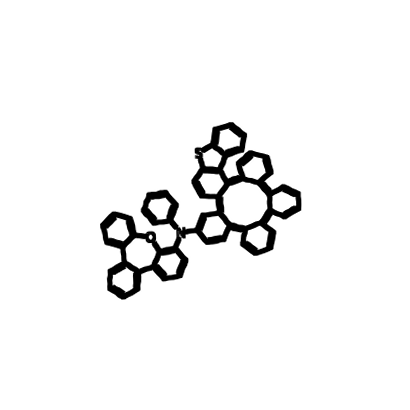 c1ccc(N(c2ccc3c4ccccc4c4ccccc4c4ccccc4c4c(ccc5sc6ccccc6c54)c3c2)c2cccc3c2Oc2ccccc2-c2ccccc2-3)cc1